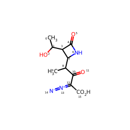 CC(O)C1C(=O)NC1C(C)C(=O)C(=[N+]=[N-])C(=O)O